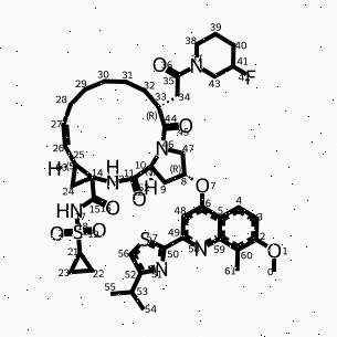 COc1ccc2c(O[C@@H]3C[C@H]4C(=O)NC5(C(=O)NS(=O)(=O)C6CC6)C[C@H]5C=CCCCCC[C@H](CC(=O)N5CCCC(F)C5)C(=O)N4C3)cc(-c3nc(C(C)C)cs3)nc2c1C